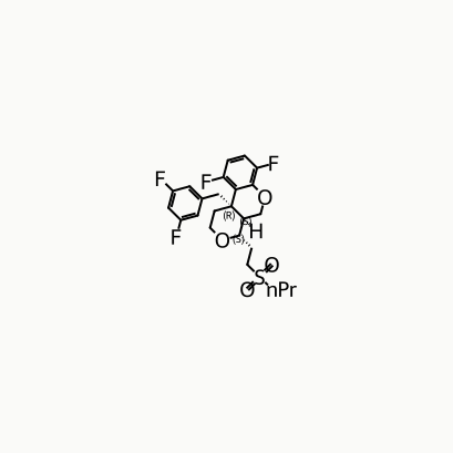 CCCS(=O)(=O)CC[C@@H]1OCC[C@@]2(Cc3cc(F)cc(F)c3)c3c(F)ccc(F)c3OC[C@@H]12